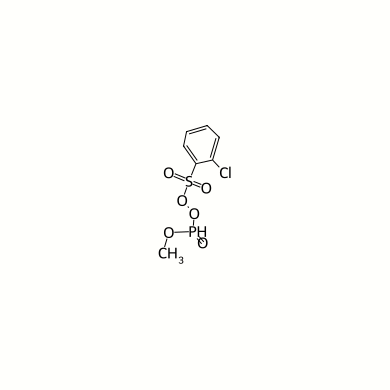 CO[PH](=O)OOS(=O)(=O)c1ccccc1Cl